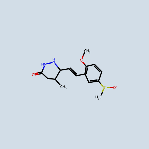 COc1ccc([S+](C)[O-])cc1/C=C/C1NNC(=O)CC1C